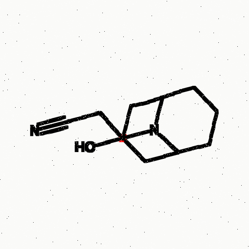 N#CCCN1C2CCCC1CC(O)C2